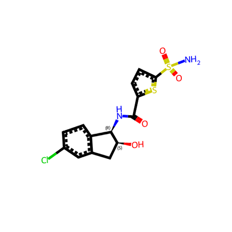 NS(=O)(=O)c1ccc(C(=O)N[C@@H]2c3ccc(Cl)cc3C[C@@H]2O)s1